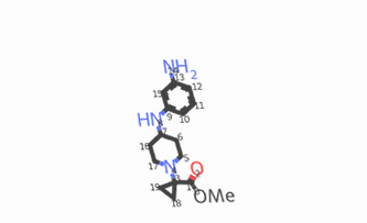 COC(=O)C1(N2CCC(Nc3cccc(N)c3)CC2)CC1